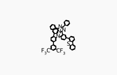 FC(F)(F)c1cc(-c2ccc3c4ccccc4n(-c4ccc(-c5cccc6c5sc5ccccc56)cc4-c4nc(-c5ccccc5)nc(-c5ccccc5)n4)c3c2)cc(C(F)(F)F)c1